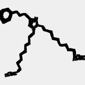 CCCCCCCCCCCCCCCCCCCc1nc(CCCc2ccccc2)cn1CCCCCCCCCCCCCCCCCCC